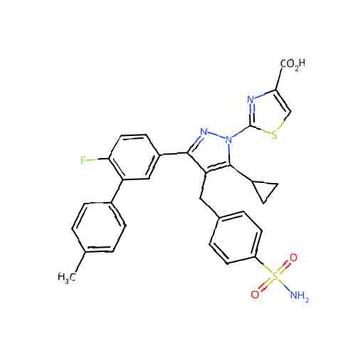 Cc1ccc(-c2cc(-c3nn(-c4nc(C(=O)O)cs4)c(C4CC4)c3Cc3ccc(S(N)(=O)=O)cc3)ccc2F)cc1